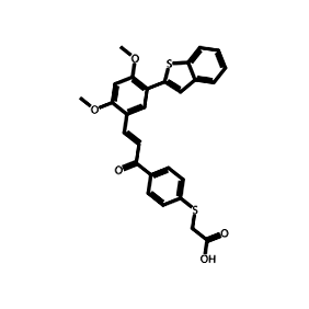 COc1cc(OC)c(-c2cc3ccccc3s2)cc1C=CC(=O)c1ccc(SCC(=O)O)cc1